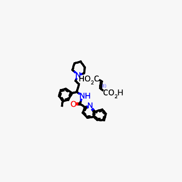 Cc1cccc(C(CCN2CCCCC2)NC(=O)c2ccc3ccccc3n2)c1.O=C(O)/C=C/C(=O)O